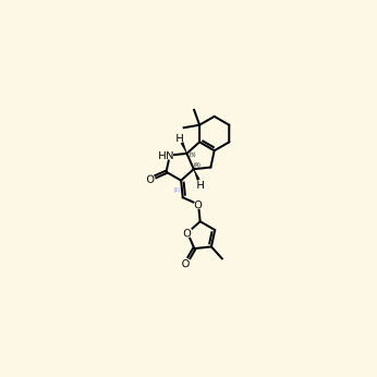 CC1=CC(O/C=C2/C(=O)N[C@@H]3C4=C(CCCC4(C)C)C[C@H]23)OC1=O